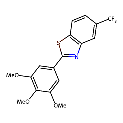 COc1cc(-c2nc3cc(C(F)(F)F)ccc3s2)cc(OC)c1OC